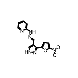 O=[N+]([O-])c1ccc(-c2n[nH]cc2C=NNc2ccccn2)o1